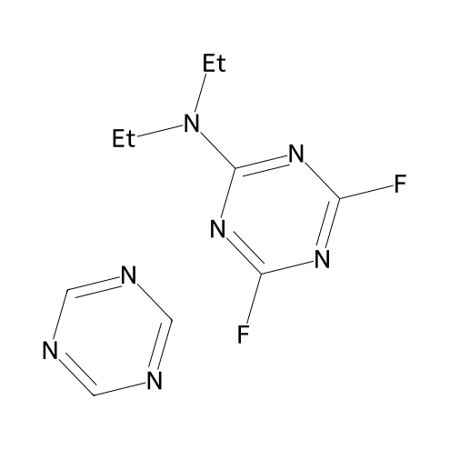 CCN(CC)c1nc(F)nc(F)n1.c1ncncn1